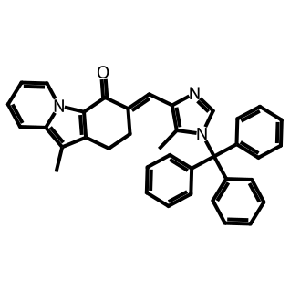 Cc1c2c(n3ccccc13)C(=O)C(=Cc1ncn(C(c3ccccc3)(c3ccccc3)c3ccccc3)c1C)CC2